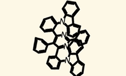 c1ccc(-c2nc(-c3ccccc3-n3c4ccccc4c4ccccc43)c(-c3ccccc3)c(-c3ccccc3-n3c4ccccc4c4ccccc43)n2)cc1